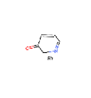 O=C1C=CC=NC1.[Rh]